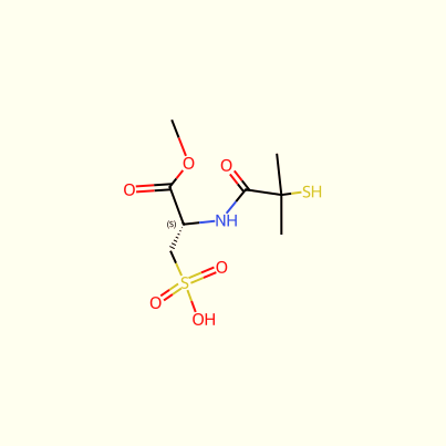 COC(=O)[C@@H](CS(=O)(=O)O)NC(=O)C(C)(C)S